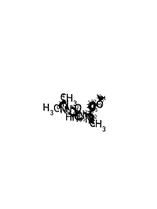 Cc1cc(C)nc(N2CCC3(CC2)NCCN(Cc2nn(C)cc2-c2cccc(OC4CC4)c2)C3=O)n1